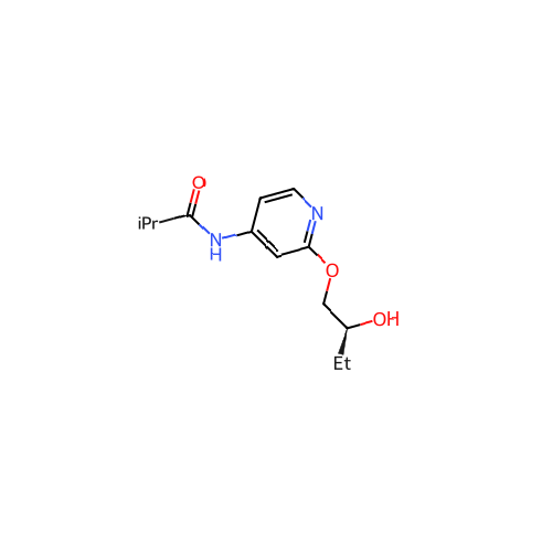 CC[C@H](O)COc1cc(NC(=O)C(C)C)ccn1